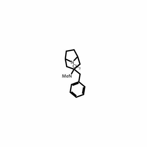 CNC1(Cc2ccccc2)CC2CCC(C1)N2C